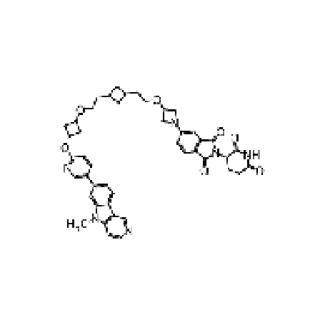 Cn1c2ccncc2c2ccc(-c3ccc(O[C@H]4C[C@H](OCCC5CC(CCOC6CN(c7ccc8c(c7)C(=O)N(C7CCC(=O)NC7=O)C8=O)C6)C5)C4)nc3)cc21